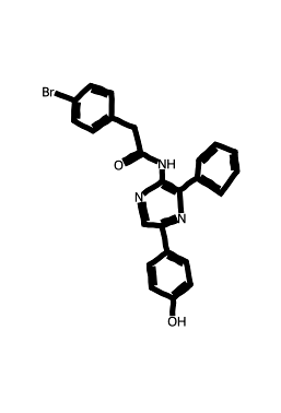 O=C(Cc1ccc(Br)cc1)Nc1ncc(-c2ccc(O)cc2)nc1-c1ccccc1